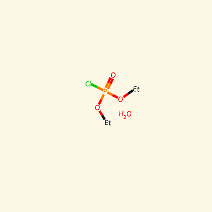 CCOP(=O)(Cl)OCC.O